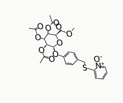 COC(=O)[C@H]1O[C@@H](Oc2ccc(CSc3cccc[n+]3[O-])cc2)[C@@H](OC(C)=O)C(OC(C)=O)[C@H]1OC(C)=O